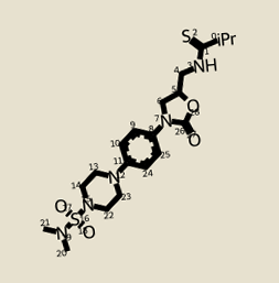 CC(C)C(=S)NCC1CN(c2ccc(N3CCN(S(=O)(=O)N(C)C)CC3)cc2)C(=O)O1